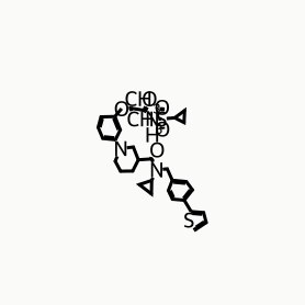 CC(C)(Oc1cccc(N2CCCC(C(=O)N(Cc3ccc(-c4cccs4)cc3)C3CC3)C2)c1)C(=O)NS(=O)(=O)C1CC1